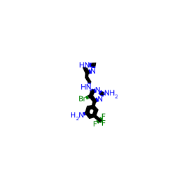 Nc1cc(-c2nc(N)nc(NCCc3c[nH]cn3)c2Br)cc(C(F)(F)F)c1